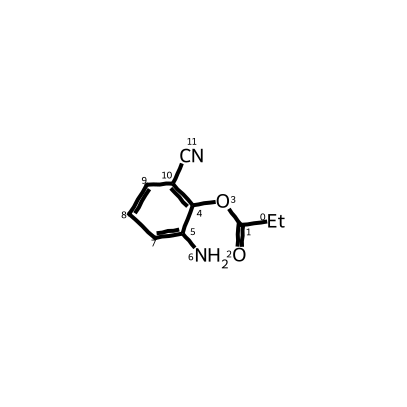 CCC(=O)Oc1c(N)cccc1C#N